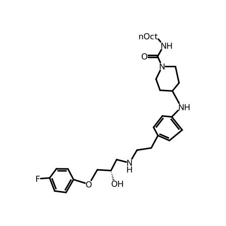 CCCCCCCCNC(=O)N1CCC(Nc2ccc(CCNC[C@H](O)COc3ccc(F)cc3)cc2)CC1